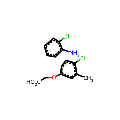 Cc1cc(OCC(=O)O)ccc1Cl.Nc1ccccc1Cl